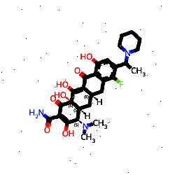 CC(c1cc(O)c2c(c1F)C[C@H]1C[C@H]3[C@H](N(C)C)C(O)=C(C(N)=O)C(=O)[C@@]3(O)C(O)=C1C2=O)N1CCCCC1